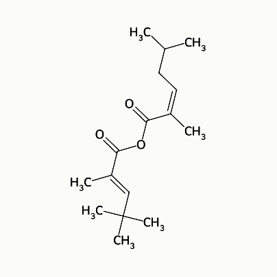 CC(=CCC(C)C)C(=O)OC(=O)C(C)=CC(C)(C)C